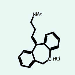 CNCCC=C1c2ccccc2COc2ccccc21.Cl